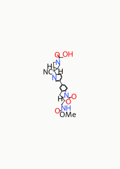 COC(=O)NC[C@@H]1OC(=O)N2c3ccc(-c4ccc([C@@]5(C#N)[C@@H]6CN(C(=O)CO)C[C@@H]65)nc4)cc3C[C@@H]12